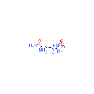 N=C(NCCCC(N)C(N)=O)N[N+](=O)[O-]